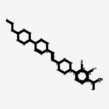 CCCC1CCC(C2C=CC(/C=C/C3CCC(c4ccc(C(C)O)c(F)c4F)CC3)CC2)CC1